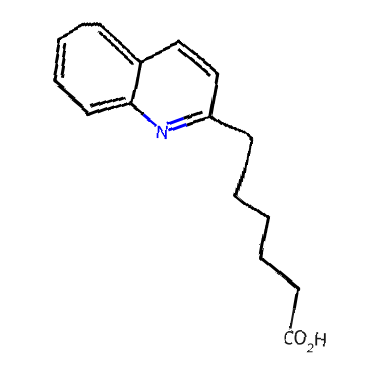 O=C(O)CCCCCc1ccc2ccccc2n1